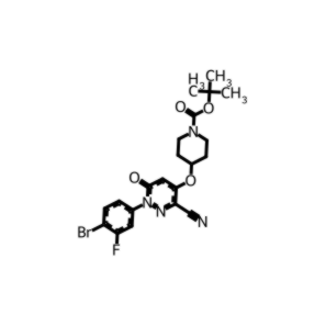 CC(C)(C)OC(=O)N1CCC(Oc2cc(=O)n(-c3ccc(Br)c(F)c3)nc2C#N)CC1